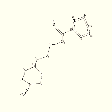 CN1CCN(CCCOC(=O)c2ccccn2)CC1